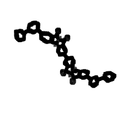 O=c1c2cc(-c3cccc(-c4ccccc4)c3)ccc2n2c3ccc(-c4ccc5c(c4)c(=O)n4c(=O)c6cc(-c7cccc(-c8ccccc8)c7)ccc6n54)cc3c(=O)n12